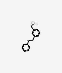 OCc1cccc(C[CH]c2ccccc2)c1